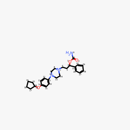 NC(=O)OC(CCN1CCN(c2ccc(OC3CCCC3)cc2)CC1)c1ccccc1